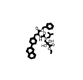 CCOC(=O)C(O)(O)CN(CC(C)C)C(=O)NC(Cc1ccc(-c2ccc3ccccc3c2)cc1)C(=O)OCc1ccccc1